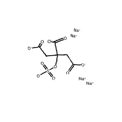 O=C([O-])CC(CC(=O)[O-])(OS(=O)(=O)[O-])C(=O)[O-].[Na+].[Na+].[Na+].[Na+]